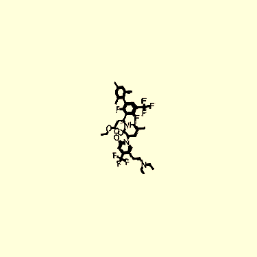 CCOC(=O)C[C@H](NC(=O)C(CC(C)C)n1cc(CCN(CC)CC)c(C(F)(F)F)cc1=O)c1c(F)c(-c2c(C)cc(C)cc2C)cc(C(F)(F)F)c1F